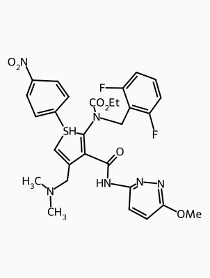 CCOC(=O)N(Cc1c(F)cccc1F)C1=C(C(=O)Nc2ccc(OC)nn2)C(CN(C)C)=C[SH]1c1ccc([N+](=O)[O-])cc1